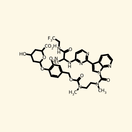 CCC(Nc1ccnc(-c2cn(C(=O)N(C)CCN(C)C(=O)OCc3ccc(OC4CC(O)CC(C(=O)O)O4)c([N+](=O)[O-])c3)c3ncccc23)n1)C(=O)NCC(F)(F)F